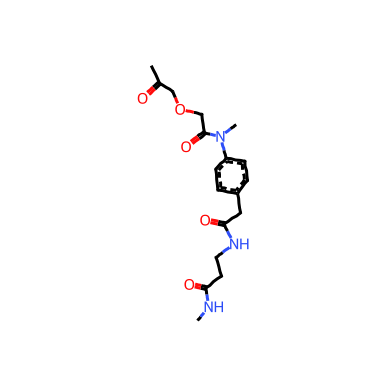 CNC(=O)CCNC(=O)Cc1ccc(N(C)C(=O)COCC(C)=O)cc1